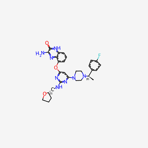 C[C@H](c1ccc(F)cc1)N1CCN(c2cc(Oc3cccc4[nH]c(=O)c(N)nc34)nc(NC[C@@H]3CCCO3)n2)CC1